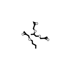 CC(COCC1CO1)OCC1CO1.CCCCOCC1CO1